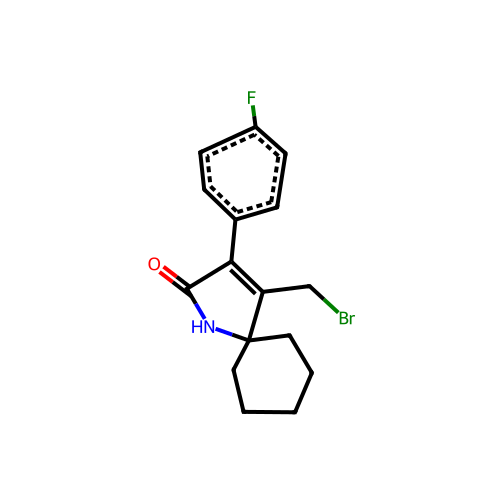 O=C1NC2(CCCCC2)C(CBr)=C1c1ccc(F)cc1